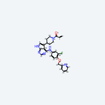 C=CC(=O)N1CCC(c2c[nH]c3ncnc(Nc4ccc(OCc5ccccn5)c(F)c4)c23)CC1